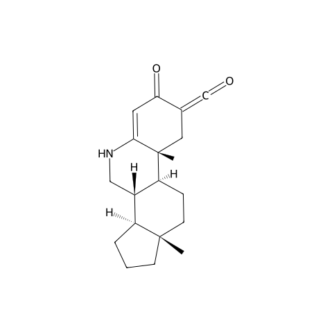 C[C@@]12CCC[C@H]1[C@@H]1CNC3=CC(=O)C(=C=O)C[C@]3(C)[C@H]1CC2